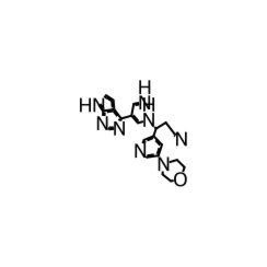 N#CCC(N/C=C(\C=N)c1ncnc2[nH]ccc12)c1cncc(N2CCOCC2)c1